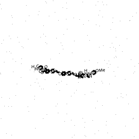 C=C1CCC(N2C(=O)c3ccc(N4CCN(CCCOc5ccc(N6CCN(CCOCc7nc8cnc(Nc9ccnc(N%10CCC(OC)CC%10)n9)cc8n7C(C)C)CC6)cc5)CC4)cc3C2=O)C(=O)N1